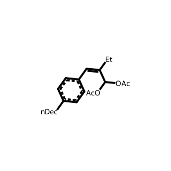 CCCCCCCCCCc1ccc(C=C(CC)C(OC(C)=O)OC(C)=O)cc1